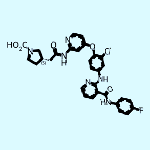 O=C(C[C@@H]1CCN(C(=O)O)C1)Nc1cc(Oc2ccc(Nc3ncccc3C(=O)Nc3ccc(F)cc3)cc2Cl)ccn1